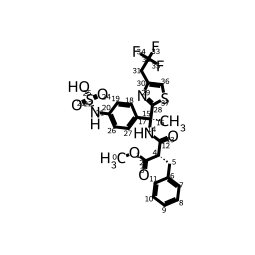 COC(=O)[C@@H](Cc1ccccc1)C(=O)N[C@@](C)(c1ccc(NS(=O)(=O)O)cc1)c1nc(CC(F)(F)F)cs1